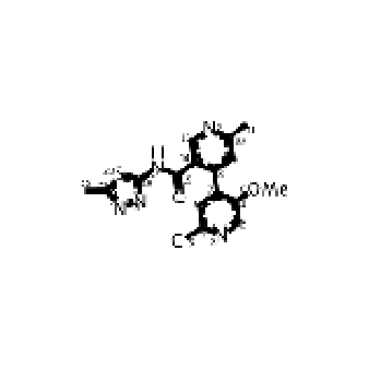 COc1cnc(Cl)cc1-c1cc(C)ncc1C(=O)Nc1nnc(C)s1